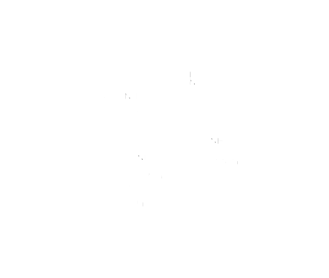 CC(C)(C)OC(=O)NC1CC=CC2CNCC21.CCOC(=O)NC1CC=CC2CNCC21